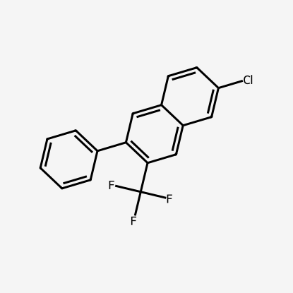 FC(F)(F)c1cc2cc(Cl)ccc2cc1-c1ccccc1